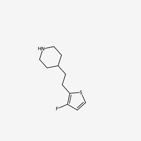 Fc1ccsc1CCC1CCNCC1